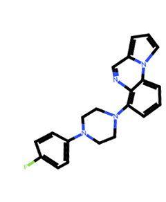 Fc1ccc(N2CCN(c3cccc4c3ncc3cccn34)CC2)cc1